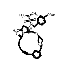 COc1ccc(CN([C@H]2CC(C)N3C(=O)CCCC#Cc4cccc(c4)C4CCC(CC4)OC[C@@H]23)S(=O)(=O)N(C)C)cc1